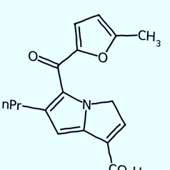 CCCc1cc2n(c1C(=O)c1ccc(C)o1)CC=C2C(=O)O